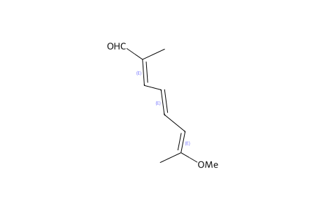 CO/C(C)=C/C=C/C=C(\C)C=O